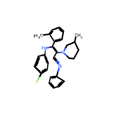 Cc1ccccc1C(Nc1ccc(F)cc1)=C(C=Nc1ccccc1)N1CCCC(C)C1